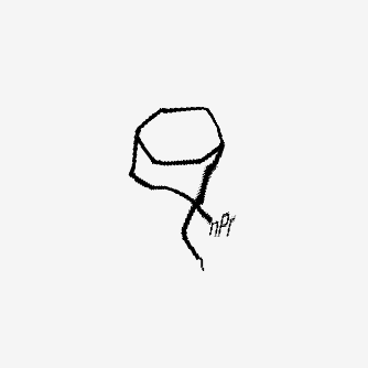 CCCC1(CI)CCC2CCC(CC2)C1